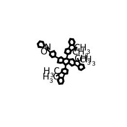 CC1(C)c2ccccc2-c2ccc(-c3c4ccc(-c5ccc(-c6nc7ccccc7o6)cc5)cc4c(-c4ccc5c(c4)C(C)(C)c4ccccc4-5)c4cc5c(cc34)-c3ccccc3C5(C)C)cc21